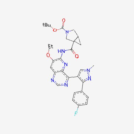 CCOc1cc2ncnc(-c3cn(C)nc3-c3ccc(F)cc3)c2nc1NC(=O)C12CC1CN(C(=O)OC(C)(C)C)C2